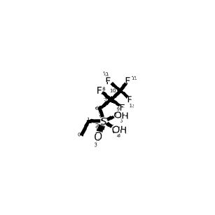 CCS(=O)(O)(O)CC(F)(F)C(F)(F)F